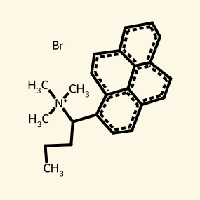 CCCC(c1ccc2ccc3cccc4ccc1c2c34)[N+](C)(C)C.[Br-]